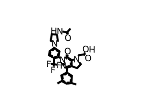 CC(=O)NC1CCN(c2ccc(C(F)(F)F)c(-n3nc(-c4cc(C)cc(C)c4)c4c(c3=O)N(CC(=O)O)CC4)c2)C1